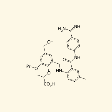 Cc1ccc(NCc2cc(CO)cc(OC(C)C)c2OC(C)C(=O)O)c(C(=O)Nc2ccc(C(=N)N)cc2)c1